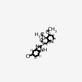 COc1ccnc(C[S+]([O-])c2nc3cc(Cl)ccc3[nH]2)c1OC